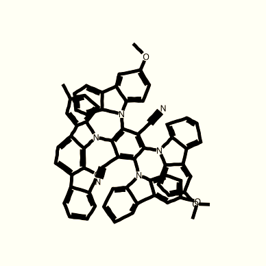 COc1ccc2c(c1)c1ccccc1n2-c1c(C#N)c(-n2c3ccccc3c3cc(OC)ccc32)c(-n2c3ccc(C)cc3c3ccc4c5ccccc5oc4c32)c(C#N)c1-n1c2ccccc2c2cc(OC)ccc21